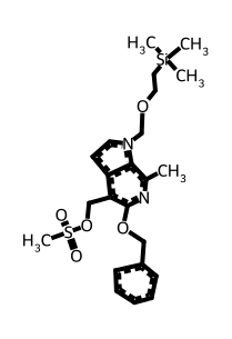 Cc1nc(OCc2ccccc2)c(COS(C)(=O)=O)c2ccn(COCC[Si](C)(C)C)c12